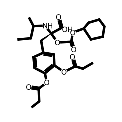 CCC(=O)Oc1ccc(C[C@](NC(C)CC)(OC(=O)OC2CCCCC2)C(=O)O)cc1OC(=O)CC